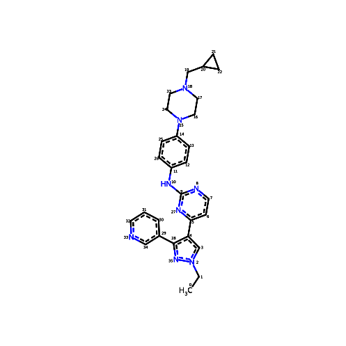 CCn1cc(-c2ccnc(Nc3ccc(N4CCN(CC5CC5)CC4)cc3)n2)c(-c2cccnc2)n1